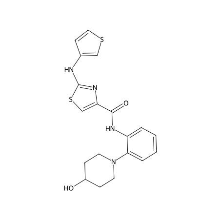 O=C(Nc1ccccc1N1CCC(O)CC1)c1csc(Nc2ccsc2)n1